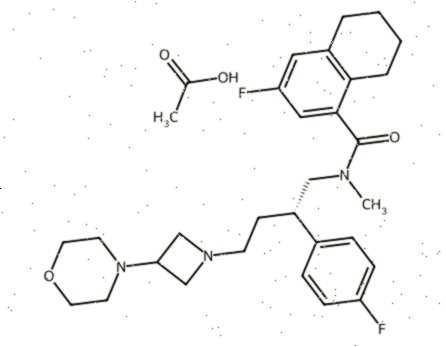 CC(=O)O.CN(C[C@@H](CCN1CC(N2CCOCC2)C1)c1ccc(F)cc1)C(=O)c1cc(F)cc2c1CCCC2